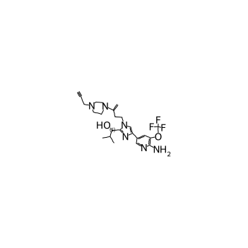 C#CCN1CCN(C(=C)CCn2cc(-c3cnc(N)c(OC(F)(F)F)c3)nc2[C@@H](O)C(C)C)CC1